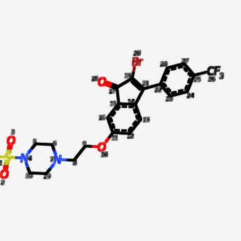 CS(=O)(=O)N1CCN(CCOc2ccc3c(c2)C(=O)C(Br)=C3c2ccc(C(F)(F)F)cc2)CC1